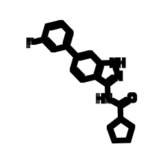 O=C(Nc1n[nH]c2cc(-c3cccc(F)c3)ccc12)C1CCCC1